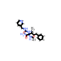 CCC(=O)NC(NC(=O)NCc1cccnc1)(C(N)=O)C(C)CCc1ccccc1